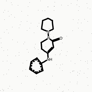 O=C1C=C(Nc2ccccc2)CCN1N1CCCCC1